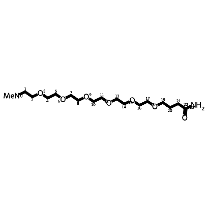 CNCCOCCOCCOCCOCCOCCOCCCC(N)=O